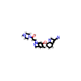 Cc1cc2cnn(C=CC(=O)N3CCN(C)CC3)c2cc1OC1CCCc2cc(C#N)cnc21